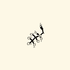 N#CCS(=O)(=O)C(Cl)(Cl)C(Cl)(Cl)Cl